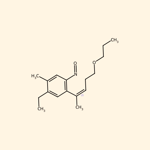 CCCOCC/C=C(/C)c1cc(CC)c(C)cc1N=O